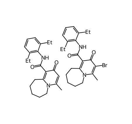 CCc1cccc(CC)c1NC(=O)c1c2n(c(C)c(Br)c1=O)CCCCC2.CCc1cccc(CC)c1NC(=O)c1c2n(c(C)cc1=O)CCCCC2